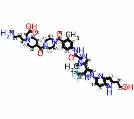 Cc1cc(NC(=O)c2ncc(-c3cn(-c4ccc5[nH]c(CCO)cc5n4)nc3C(F)(F)F)n2C)ccc1C(=O)N1CCN(C(=O)C2CC[N+](CCCN)(CC(=O)O)CC2)CC1